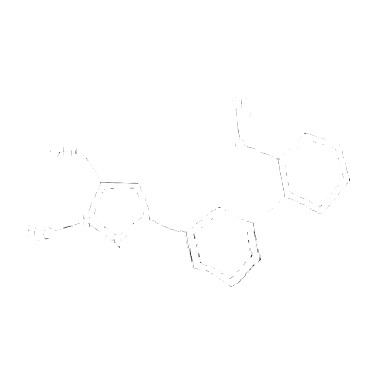 Cn1nc(-c2cccc(-c3ccccc3OC(F)(F)F)c2)cc1C=O